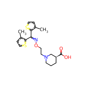 Cc1ccsc1C(=NOCCN1CCC[C@H](C(=O)O)C1)c1sccc1C